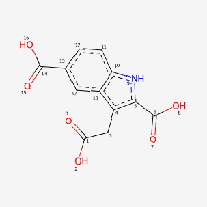 O=C(O)Cc1c(C(=O)O)[nH]c2ccc(C(=O)O)cc12